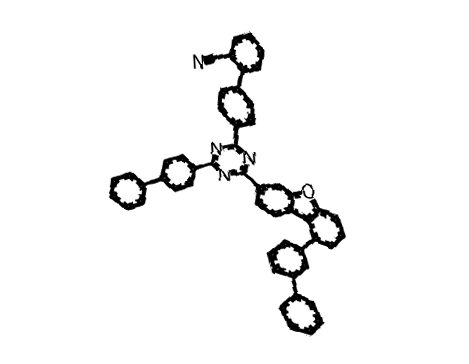 N#Cc1ccccc1-c1ccc(-c2nc(-c3ccc(-c4ccccc4)cc3)nc(-c3ccc4c(c3)oc3cccc(-c5cccc(-c6ccccc6)c5)c34)n2)cc1